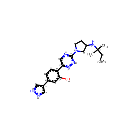 COCC(C)(C)NC1CCN(c2ncc(-c3ccc(-c4cn[nH]c4)cc3O)nn2)C1